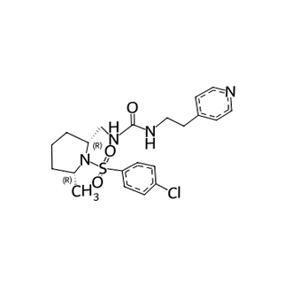 C[C@@H]1CCC[C@H](CNC(=O)NCCc2ccncc2)N1S(=O)(=O)c1ccc(Cl)cc1